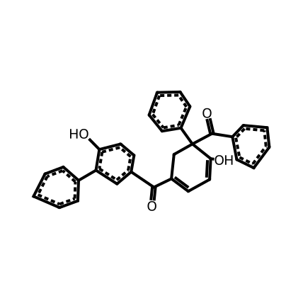 O=C(C1=CC=C(O)C(C(=O)c2ccccc2)(c2ccccc2)C1)c1ccc(O)c(-c2ccccc2)c1